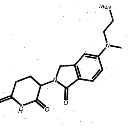 CNCCN(C)c1ccc2c(c1)CN(C1CCC(=O)NC1=O)C2=O